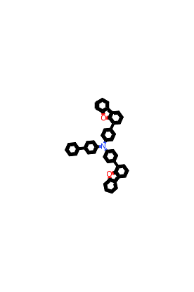 c1ccc2c(c#1)oc1c(-c3ccc(N(c4ccc(-c5ccccc5)cc4)c4ccc(-c5cccc6c5oc5ccccc56)cc4)cc3)cccc12